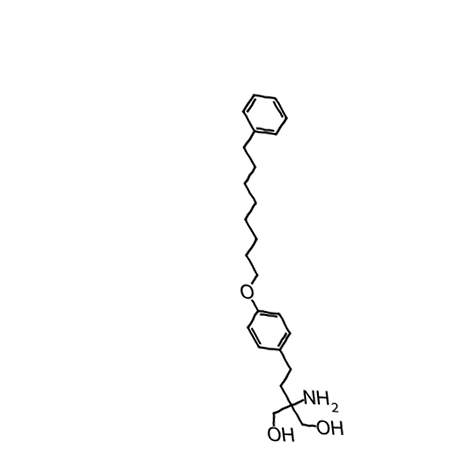 NC(CO)(CO)CCc1ccc(OCCCCCCCCc2ccccc2)cc1